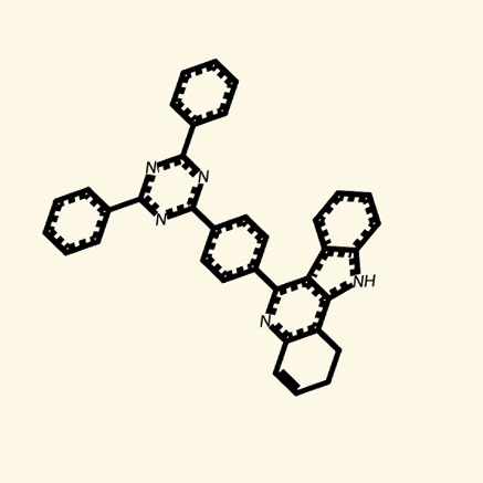 C1=Cc2nc(-c3ccc(-c4nc(-c5ccccc5)nc(-c5ccccc5)n4)cc3)c3c([nH]c4ccccc43)c2CC1